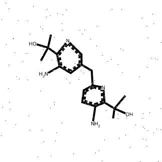 CC(C)(O)c1ncc(Cc2ccc(N)c(C(C)(C)O)n2)cc1N